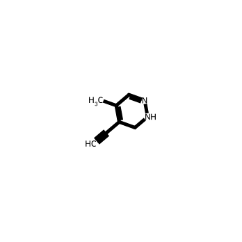 C#CC1=C(C)C=NNC1